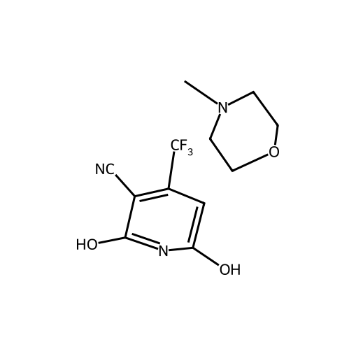 CN1CCOCC1.N#Cc1c(C(F)(F)F)cc(O)nc1O